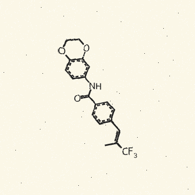 C/C(=C\c1ccc(C(=O)Nc2ccc3c(c2)OCCO3)cc1)C(F)(F)F